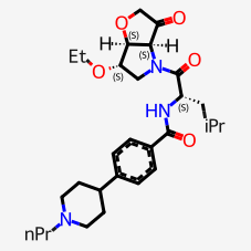 CCCN1CCC(c2ccc(C(=O)N[C@@H](CC(C)C)C(=O)N3C[C@H](OCC)[C@H]4OCC(=O)[C@H]43)cc2)CC1